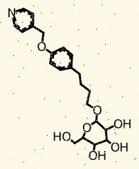 OCC1OC(OCCCCc2ccc(OCc3ccncc3)cc2)C(O)C(O)C1O